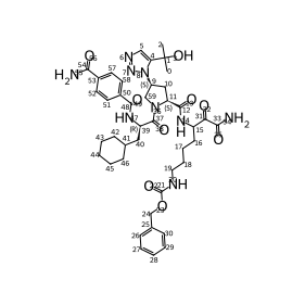 CC(C)(O)c1cnnn1[C@H]1C[C@@H](C(=O)NC(CCCCNC(=O)OCc2ccccc2)C(=O)C(N)=O)N(C(=O)[C@@H](CC2CCCCC2)NC(=O)c2ccc(C(N)=O)cc2)C1